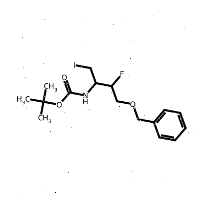 CC(C)(C)OC(=O)NC(CI)C(F)COCc1ccccc1